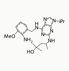 COc1cccc(CNc2nc(NC(C)CC(C)(C)O)nc3c2ncn3C(C)C)c1N